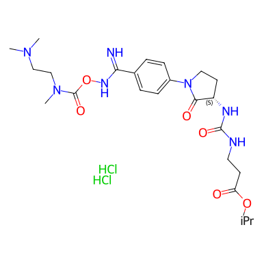 CC(C)OC(=O)CCNC(=O)N[C@H]1CCN(c2ccc(C(=N)NOC(=O)N(C)CCN(C)C)cc2)C1=O.Cl.Cl